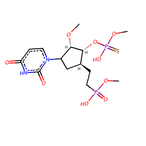 CO[C@H]1C(n2ccc(=O)[nH]c2=O)C[C@H](CCP(=O)(O)OC)[C@H]1OP(O)(=S)OC